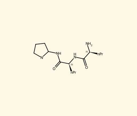 CCC[C@H](NC(=O)[C@@H](N)CCC)C(=O)NC1CCC[N]1